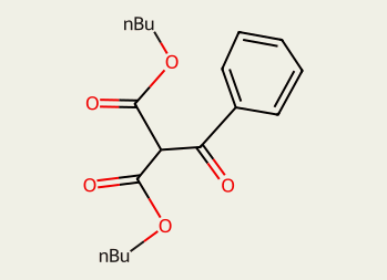 CCCCOC(=O)C(C(=O)OCCCC)C(=O)c1ccccc1